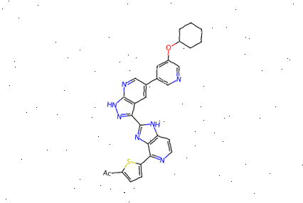 CC(=O)c1ccc(-c2nccc3[nH]c(-c4n[nH]c5ncc(-c6cncc(OC7CCCCC7)c6)cc45)nc23)s1